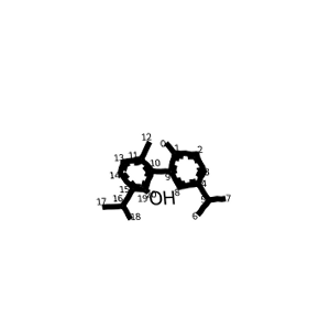 Cc1ccc(C(C)C)cc1-c1c(C)ccc(C(C)C)c1O